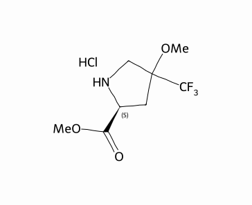 COC(=O)[C@@H]1CC(OC)(C(F)(F)F)CN1.Cl